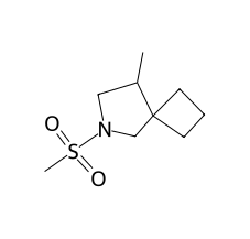 CC1CN(S(C)(=O)=O)CC12CCC2